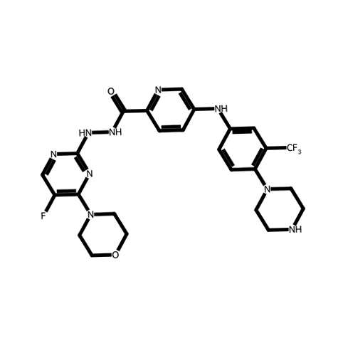 O=C(NNc1ncc(F)c(N2CCOCC2)n1)c1ccc(Nc2ccc(N3CCNCC3)c(C(F)(F)F)c2)cn1